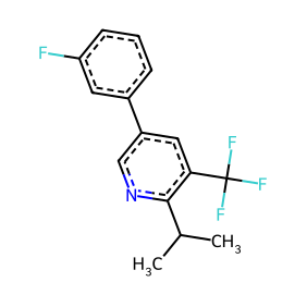 CC(C)c1ncc(-c2cccc(F)c2)cc1C(F)(F)F